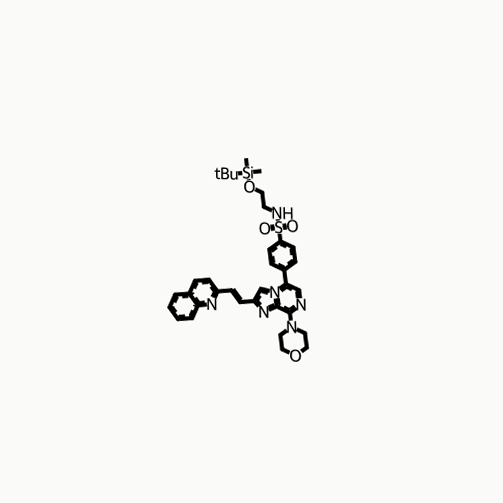 CC(C)(C)[Si](C)(C)OCCNS(=O)(=O)c1ccc(-c2cnc(N3CCOCC3)c3nc(C=Cc4ccc5ccccc5n4)cn23)cc1